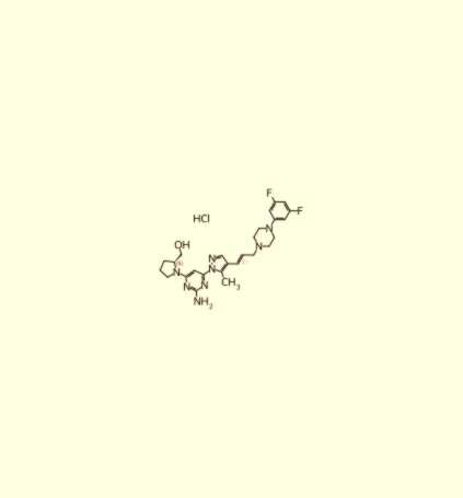 Cc1c(/C=C/CN2CCN(c3cc(F)cc(F)c3)CC2)cnn1-c1cc(N2CCC[C@H]2CO)nc(N)n1.Cl